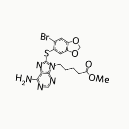 COC(=O)CCCCn1c(Sc2cc3c(cc2Br)OCO3)nc2c(N)ncnc21